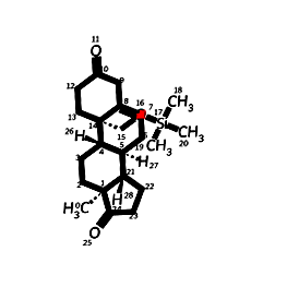 C[C@]12CC[C@H]3[C@@H](CC=C4CC(=O)CC[C@@]43CO[Si](C)(C)C)[C@@H]1CCC2=O